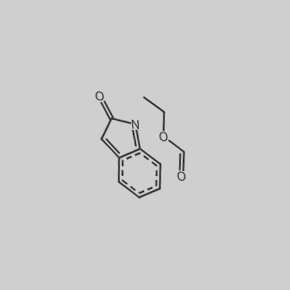 CCOC=O.O=C1C=c2ccccc2=N1